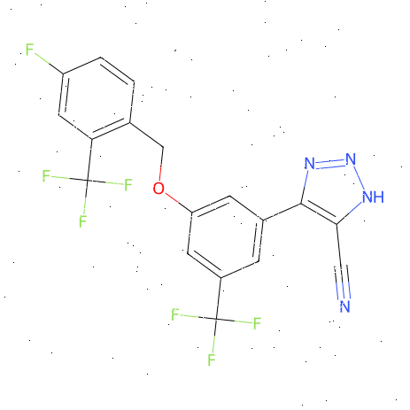 N#Cc1[nH]nnc1-c1cc(OCc2ccc(F)cc2C(F)(F)F)cc(C(F)(F)F)c1